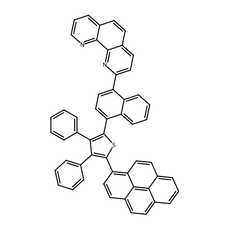 c1ccc(-c2c(-c3ccc(-c4ccc5ccc6cccnc6c5n4)c4ccccc34)sc(-c3ccc4ccc5cccc6ccc3c4c56)c2-c2ccccc2)cc1